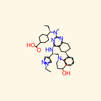 CC[C@H](C1CCC(C(=O)O)CC1)N(C)c1nc2c(c(N[C@@H](CN3CCC(O)CC3)c3cnn(CC)c3)n1)C[C@H](c1ccccc1)CC2